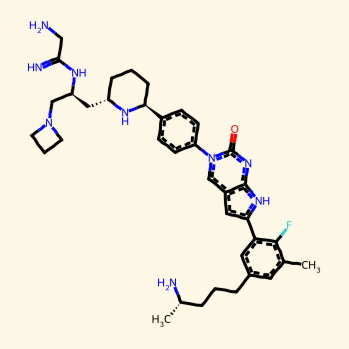 Cc1cc(CCC[C@H](C)N)cc(-c2cc3cn(-c4ccc([C@@H]5CCC[C@@H](C[C@@H](CN6CCC6)NC(=N)CN)N5)cc4)c(=O)nc3[nH]2)c1F